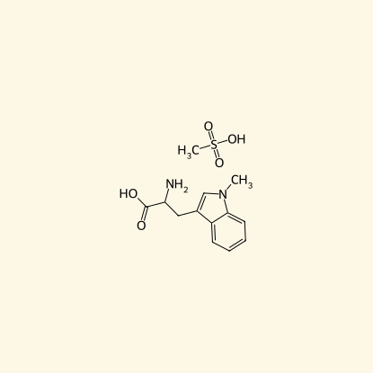 CS(=O)(=O)O.Cn1cc(CC(N)C(=O)O)c2ccccc21